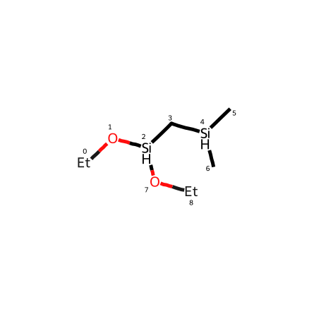 CCO[SiH](C[SiH](C)C)OCC